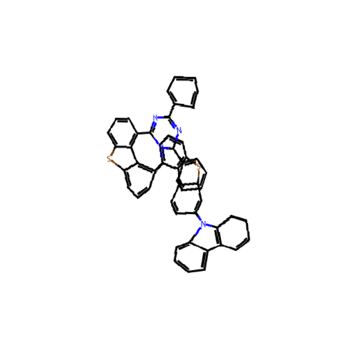 C1=Cc2c(n(C3=CC4Sc5cccc(-c6cccc7sc8cccc(C9=NC(c%10ccccc%10)=NC(c%10ccccc%10)N9)c8c67)c5C4C=C3)c3ccccc23)CC1